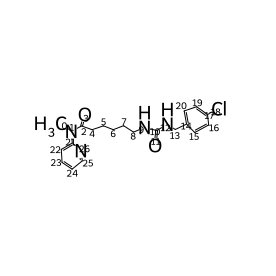 CN(C(=O)CCCCCNC(=O)NCc1ccc(Cl)cc1)c1ccccn1